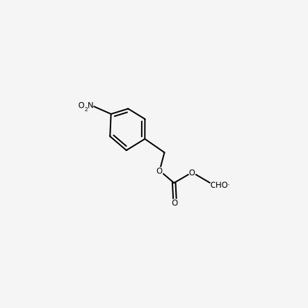 O=[C]OC(=O)OCc1ccc([N+](=O)[O-])cc1